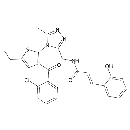 CCc1cc(C(=O)c2ccccc2Cl)c(-n2c(C)nnc2CNC(=O)C=Cc2ccccc2O)s1